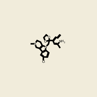 C=C/C=C(\C=C(\C)N)C1(Cn2c3c(c4cc(Cl)ccc42)CN(C)CC3)OCCO1